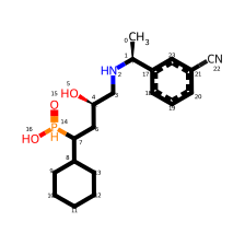 C[C@H](NC[C@H](O)CC(C1CCCCC1)[PH](=O)O)c1cccc(C#N)c1